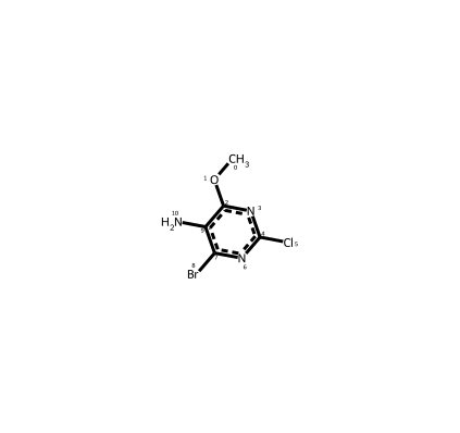 COc1nc(Cl)nc(Br)c1N